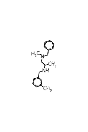 Cc1cccc(CNC(C)CN(C)Cc2ccccc2)c1